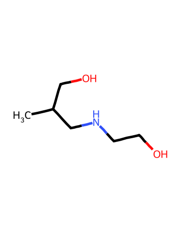 CC(CO)CNCCO